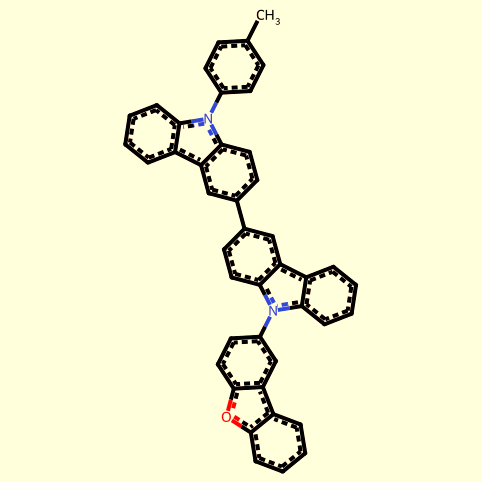 Cc1ccc(-n2c3ccccc3c3cc(-c4ccc5c(c4)c4ccccc4n5-c4ccc5oc6ccccc6c5c4)ccc32)cc1